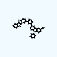 N#Cc1ccc2c(c1)c1cc(-c3cccc(-c4ccc5nc6c7ccccc7sc6n5c4)c3)ccc1n2-c1ccccc1